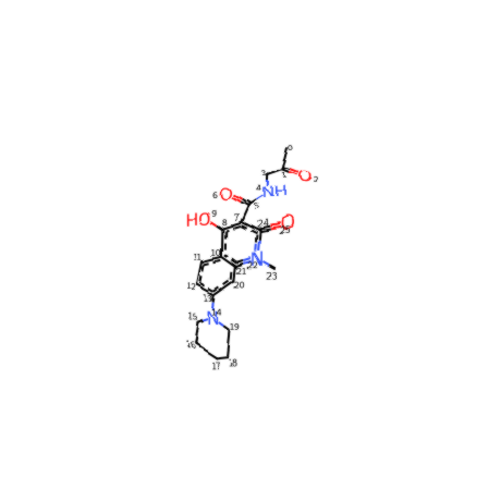 CC(=O)CNC(=O)c1c(O)c2ccc(N3CCCCC3)cc2n(C)c1=O